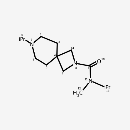 CC(C)N1CCC2(CC1)CN(C(=O)N(C)C(C)C)C2